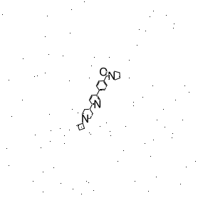 O=C(c1ccc(-c2ccc(C3CCN(C4CCC4)CC3)nc2)cc1)N1CCCC1